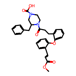 COC(=O)/C=C/c1ccccc1Oc1ccccc1CCC(=O)N1CCN(C(=O)O)CC1Cc1ccccc1